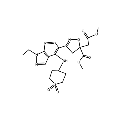 CCn1ncc2c(NC3CCS(=O)(=O)CC3)c(C3=NOC(CC(=O)OC)(C(=O)OC)C3)cnc21